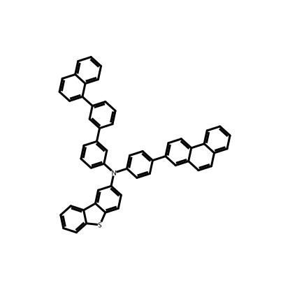 c1cc(-c2cccc(N(c3ccc(-c4ccc5c(ccc6ccccc65)c4)cc3)c3ccc4sc5ccccc5c4c3)c2)cc(-c2cccc3ccccc23)c1